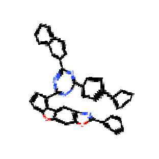 c1ccc(-c2ccc(-c3nc(-c4ccc5ccccc5c4)nc(-c4cccc5oc6cc7oc(-c8ccccc8)nc7cc6c45)n3)cc2)cc1